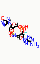 Nc1ncnc2c1ncn2[C@@H]1O[C@@H]2CNS(=O)(=O)O[C@H]3C[C@H](n4cnc5c(=O)[nH]ncc54)O[C@@H]3COP(=O)(O)O[C@H]2[C@H]1F